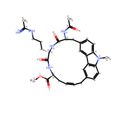 COC(=O)[C@@H]1CC=CCc2ccc3c(c2)c2cc(ccc2n3C)C[C@H](NC(C)=O)C(=O)N[C@@H](CCCNC(C)=N)C(=O)N1